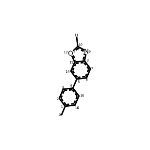 Cc1ccc(-c2ccc3nc(C)oc3c2)cc1